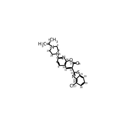 CC(C)N1CCN(c2ccc3cc(-c4nc5c(Cl)cccc5s4)c(=O)oc3n2)CC1